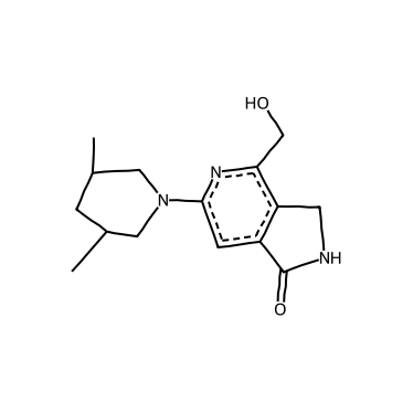 CC1CC(C)CN(c2cc3c(c(CO)n2)CNC3=O)C1